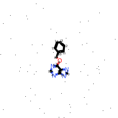 C1=Nc2c(ncnc2OCc2ccccc2)[N]1